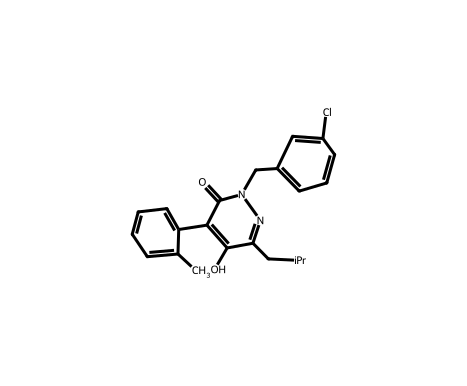 Cc1ccccc1-c1c(O)c(CC(C)C)nn(Cc2cccc(Cl)c2)c1=O